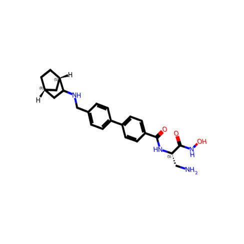 NC[C@H](NC(=O)c1ccc(-c2ccc(CNC3C[C@@H]4CC[C@H]3C4)cc2)cc1)C(=O)NO